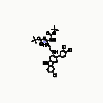 CC(C)(C)OC(=O)/N=C(\NCCNc1cc2[nH]c3ccc(Cl)cc3c2cc1-c1ccc(Cl)c(Cl)c1)NC(=O)OC(C)(C)C